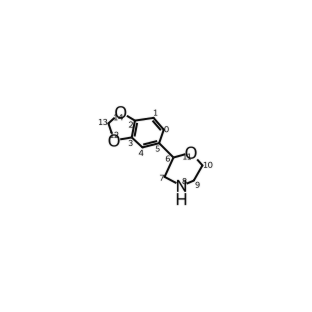 c1cc2c(cc1C1CNCCO1)OCO2